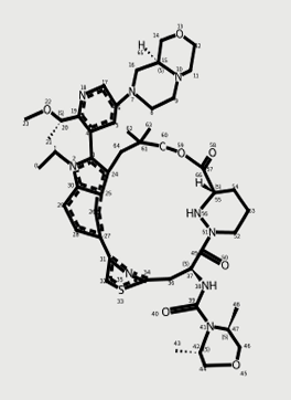 CCn1c(-c2cc(N3CCN4CCOC[C@@H]4C3)cnc2[C@H](C)OC)c2c3cc(ccc31)-c1csc(n1)C[C@H](NC(=O)N1[C@@H](C)COC[C@@H]1C)C(=O)N1CCC[C@H](N1)C(=O)OCC(C)(C)C2